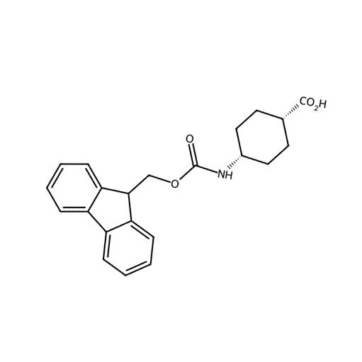 O=C(N[C@H]1CC[C@@H](C(=O)O)CC1)OCC1c2ccccc2-c2ccccc21